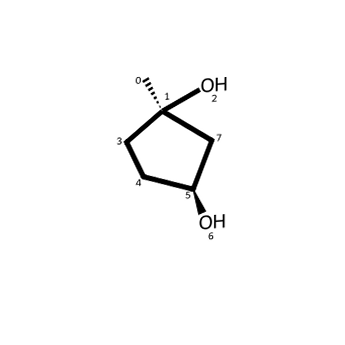 C[C@@]1(O)CC[C@H](O)C1